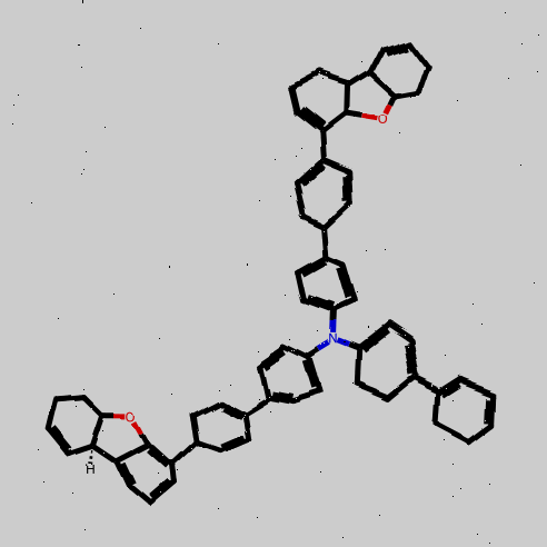 C1=CCCC(C2=CC=C(N(c3ccc(C4=CCC(c5cccc6c5OC5CCC=C[C@H]65)C=C4)cc3)c3ccc(C4C=CC(C5=CCCC6C5OC5CCC=CC56)=CC4)cc3)CC2)=C1